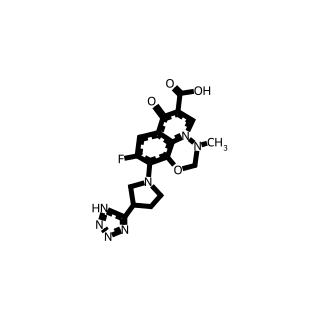 CN1COc2c(N3CCC(c4nnn[nH]4)C3)c(F)cc3c(=O)c(C(=O)O)cn1c23